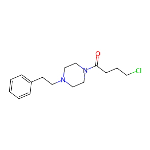 O=C(CCCCl)N1CCN(CCc2ccccc2)CC1